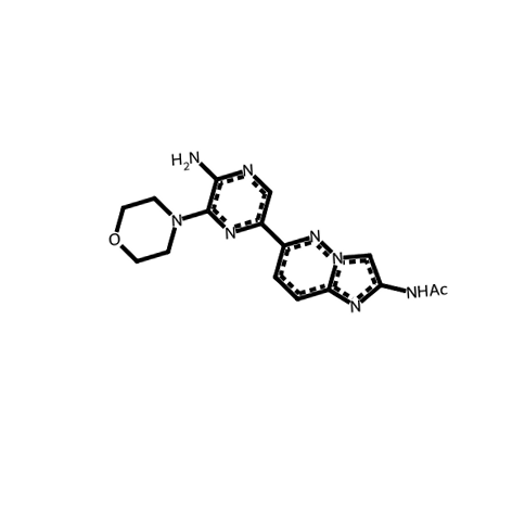 CC(=O)Nc1cn2nc(-c3cnc(N)c(N4CCOCC4)n3)ccc2n1